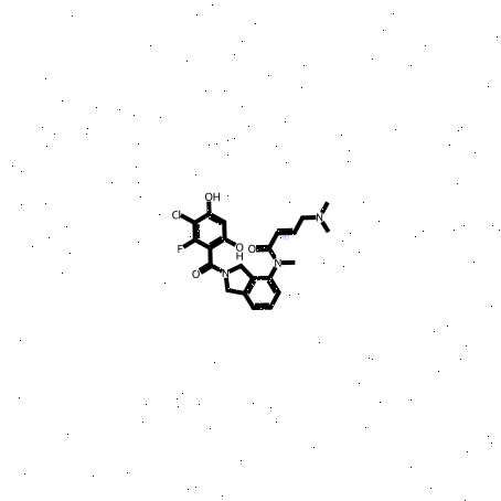 CN(C)C/C=C/C(=O)N(C)c1cccc2c1CN(C(=O)c1c(O)cc(O)c(Cl)c1F)C2